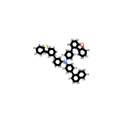 c1cc(-c2ccc3sc4ccccc4c3c2)cc(N(c2ccc(-c3cccc4ccccc34)cc2)c2ccc(-c3cccc4oc5ccccc5c34)cc2)c1